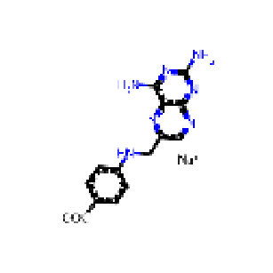 Nc1nc(N)c2nc(CNc3ccc(C(=O)[O-])cc3)cnc2n1.[Na+]